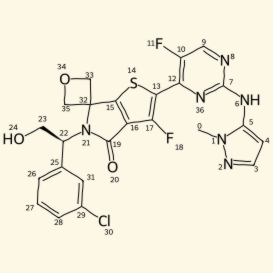 Cn1nccc1Nc1ncc(F)c(-c2sc3c(c2F)C(=O)N([C@H](CO)c2cccc(Cl)c2)C32COC2)n1